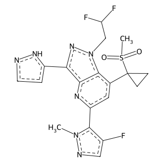 Cn1ncc(F)c1-c1cc(C2(S(C)(=O)=O)CC2)c2c(n1)c(-c1ccn[nH]1)nn2CC(F)F